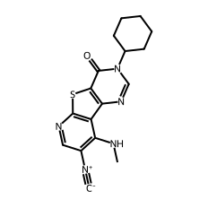 [C-]#[N+]c1cnc2sc3c(=O)n(C4CCCCC4)cnc3c2c1NC